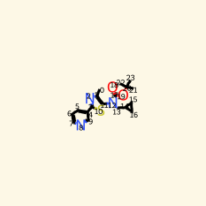 Cc1nc(-c2cccnc2)sc1N(CC1CC1)C(=O)OC(C)(C)C